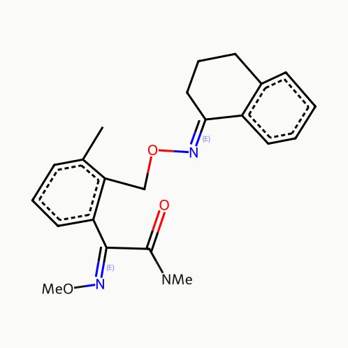 CNC(=O)/C(=N/OC)c1cccc(C)c1CO/N=C1\CCCc2ccccc21